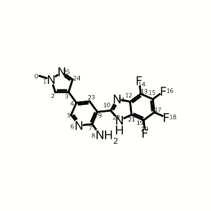 Cn1cc(-c2cnc(N)c(-c3nc4c(F)c(F)c(F)c(F)c4[nH]3)c2)cn1